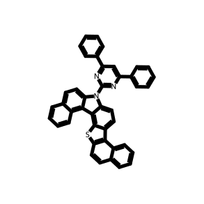 c1ccc(-c2cc(-c3ccccc3)nc(-n3c4ccc5ccccc5c4c4c5sc6ccc7ccccc7c6c5ccc43)n2)cc1